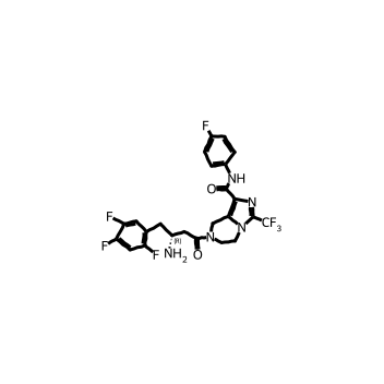 N[C@@H](CC(=O)N1CCn2c(C(F)(F)F)nc(C(=O)Nc3ccc(F)cc3)c2C1)Cc1cc(F)c(F)cc1F